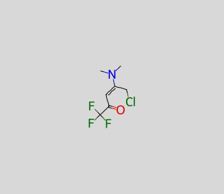 CN(C)C(=CC(=O)C(F)(F)F)CCl